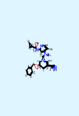 N#CC1CC(OCc2ccccc2)CN(c2nc3ccnc(NC(=O)C4CC4)c3s2)C1